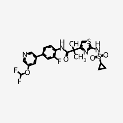 CC(C)(C(=O)Nc1ccc(-c2cncc(OC(F)F)c2)cc1F)c1csc(NS(=O)(=O)C2CC2)n1